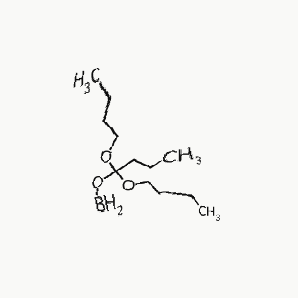 BOC(CCC)(OCCCC)OCCCC